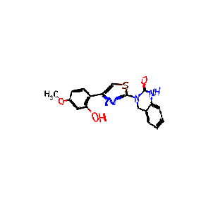 COc1ccc(-c2csc(N3Cc4ccccc4NC3=O)n2)c(O)c1